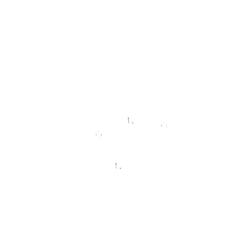 CN(C)C(=O)Cn1ccc[c]c1=O